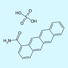 NC(=O)c1cccc2cc3cc4ccccc4cc3cc12.O=S(=O)(O)O